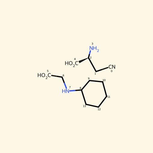 N#CC[C@H](N)C(=O)O.O=C(O)CNC1CCCCC1